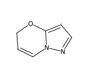 [c]1cnn2c1OCC=C2